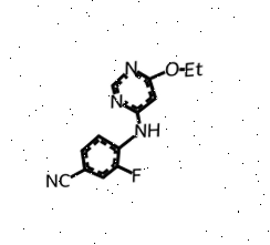 CCOc1cc(Nc2ccc(C#N)cc2F)ncn1